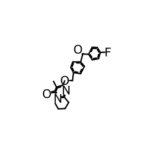 Cc1c(OCc2ccc(C(=O)c3ccc(F)cc3)cc2)nc2n(c1=O)CCCC2